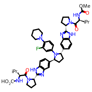 COC(=O)N[C@H](C(=O)N1CCC[C@H]1c1nc2cc([C@@H]3CC[C@@H](c4ccc5[nH]c([C@@H]6CCCN6C(=O)[C@@H](NC(=O)O)C(C)C)nc5c4)N3c3ccc(N4CCCCC4)c(F)c3)ccc2[nH]1)C(C)C